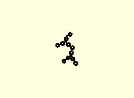 C1=CC=C(c2ccc3c(c2)c2cc(-c4ccccc4)ccc2n3-c2ccc(-c3cccc(-c4ccc(N(c5ccc(Cc6ccccc6)cc5)c5ccc(-c6ccccc6)cc5)cc4)c3)cc2)CC=C1